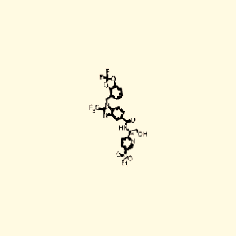 CCS(=O)(=O)c1ccc([C@H](CO)NC(=O)c2ccc3c(c2)nc(C(F)(F)F)n3Cc2cccc3c2OC(F)(F)O3)nc1